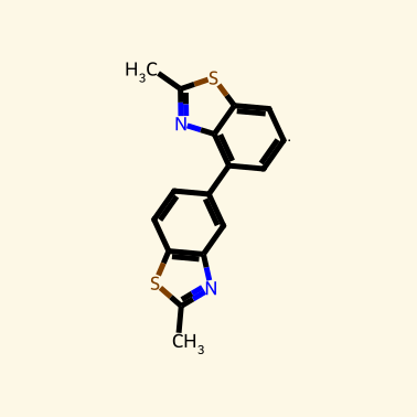 Cc1nc2cc(-c3c[c]cc4sc(C)nc34)ccc2s1